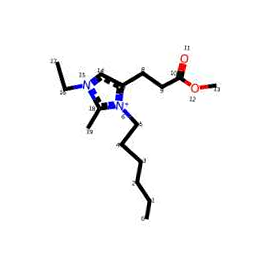 CCCCCC[n+]1c(CCC(=O)OC)cn(CC)c1C